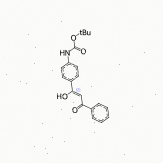 CC(C)(C)OC(=O)Nc1ccc(/C(O)=C/C(=O)c2ccccc2)cc1